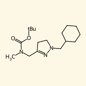 CN(CC1=NN(CC2CCCCC2)CC1)C(=O)OC(C)(C)C